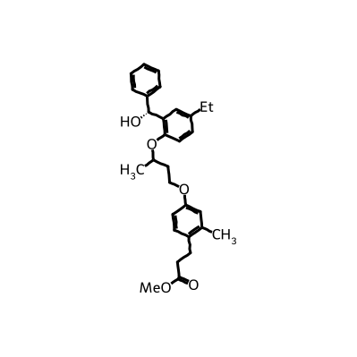 CCc1ccc(OC(C)CCOc2ccc(CCC(=O)OC)c(C)c2)c([C@H](O)c2ccccc2)c1